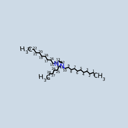 CCCCCCCCCCCN1C=CN(CCCCCCCCC)C1CCCCC